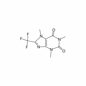 Cn1c(=O)c2c(nc(C(F)(F)F)n2C)n(C)c1=O